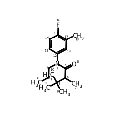 CCCN(C(=O)C(C)C(C)(C)C)c1ccc(F)c(C)c1